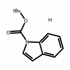 CC(C)(C)OC(=O)n1ccc2ccccc21.[H]